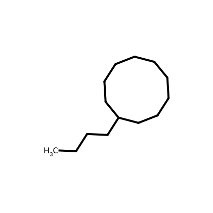 CCC[CH]C1CCCCCCCCC1